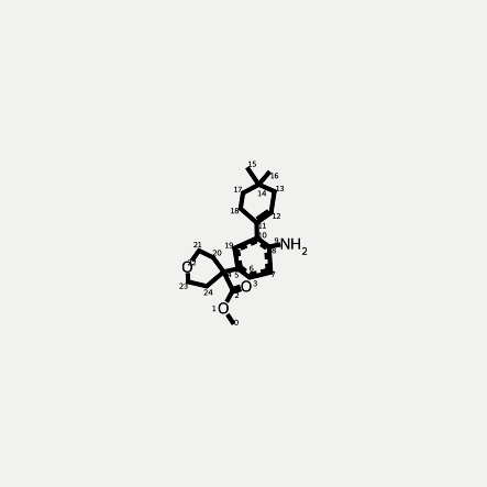 COC(=O)C1(c2ccc(N)c(C3=CCC(C)(C)CC3)c2)CCOCC1